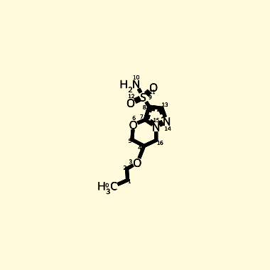 CCCOC1COc2c(S(N)(=O)=O)cnn2C1